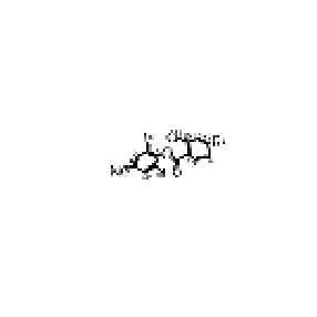 N#Cc1cc(I)c(OC(=O)c2ccc(Cl)cc2Cl)c(I)c1